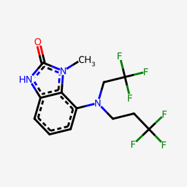 Cn1c(=O)[nH]c2cccc(N(CCC(F)(F)F)CC(F)(F)F)c21